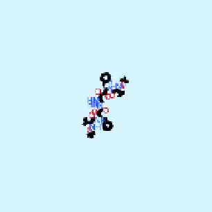 CC(C)[C@H](NOC(C)(C)C)C(=O)N[C@@H](Cc1ccccc1)C(=O)C(=O)C1=CN(C(=O)C(=O)[C@H](Cc2ccccc2)NC(=O)[C@@H](NOC(C)(C)C)C(C)C)NN1